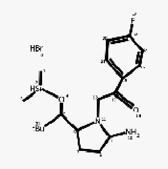 Br.C[SiH](C)OC(C1CCC(N)N1CC(=O)c1ccc(F)cc1)C(C)(C)C